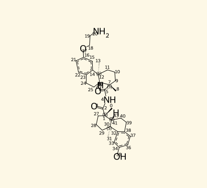 C[C@]1(C(=O)NC(=O)[C@@]2(C)CCC[C@]3(C)c4cc(OCCN)ccc4CC[C@@H]23)CCC[C@]2(C)c3cc(O)ccc3CC[C@@H]12